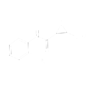 O=C([O-])C1OC1C(=O)Nc1ccccc1.[K+]